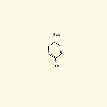 CCCC(C)C1C=CC(C#N)=CC1